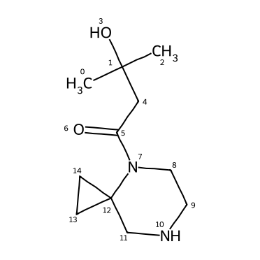 CC(C)(O)CC(=O)N1CCNCC12CC2